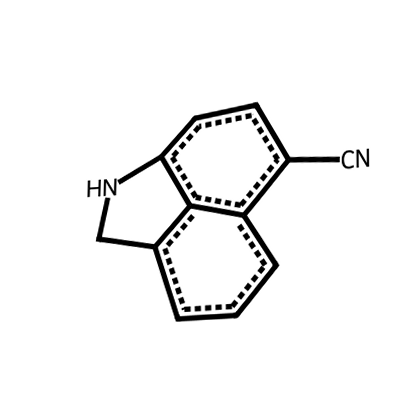 N#Cc1ccc2c3c(cccc13)CN2